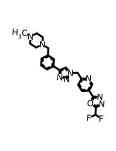 CN1CCN(Cc2cccc(-c3cn(Cc4ccc(-c5nnc(C(F)F)o5)cn4)nn3)c2)CC1